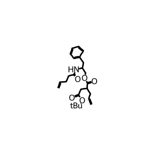 C=CCCC(=O)NC(COC(=O)C(CC=C)CC(=O)OC(C)(C)C)Cc1ccccc1